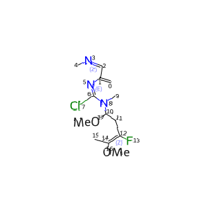 C=C(/C=N\C)/N=C(/Cl)N(C)C(C/C(F)=C(\C)OC)OC